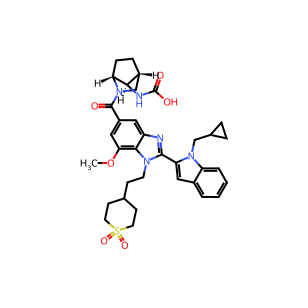 COc1cc(C(=O)N2C[C@H]3CC[C@@H]2[C@@H]3NC(=O)O)cc2nc(-c3cc4ccccc4n3CC3CC3)n(CCC3CCS(=O)(=O)CC3)c12